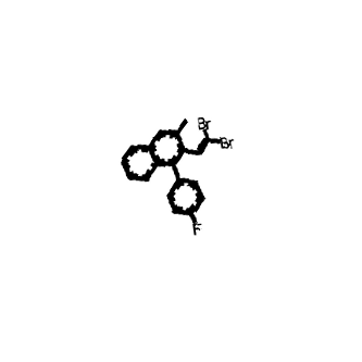 Cc1cc2ccccc2c(-c2ccc(F)cc2)c1C=C(Br)Br